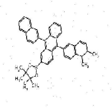 CC1C=Cc2cc(-c3c4ccccc4c(-c4ccc5ccccc5c4)c4cc(B5OC(C)(C)C(C)(C)O5)ccc34)ccc2C1C